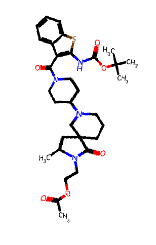 CC(=O)OCCN1C(=O)C2(CCCN(C3CCN(C(=O)c4c(NC(=O)OC(C)(C)C)sc5ccccc45)CC3)C2)CC1C